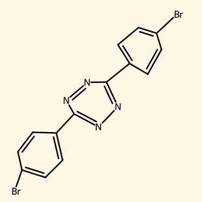 Brc1ccc(-c2nnc(-c3ccc(Br)cc3)nn2)cc1